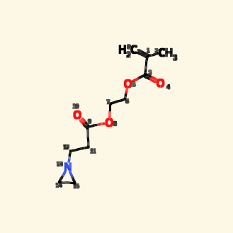 C=C(C)C(=O)OCCOC(=O)CCN1CC1